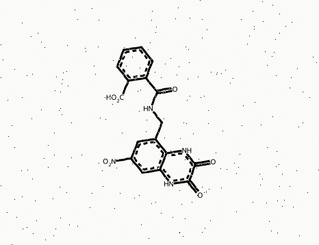 O=C(O)c1ccccc1C(=O)NCc1cc([N+](=O)[O-])cc2[nH]c(=O)c(=O)[nH]c12